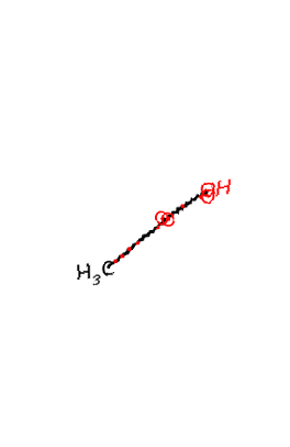 CCCCCCCCC=CCCCCCCCCCCCCCC(=O)OCCCCCCCCCCCCCCCC(=O)O